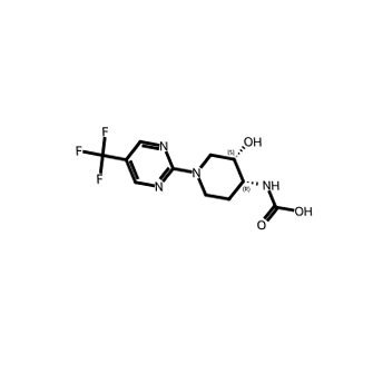 O=C(O)N[C@@H]1CCN(c2ncc(C(F)(F)F)cn2)C[C@@H]1O